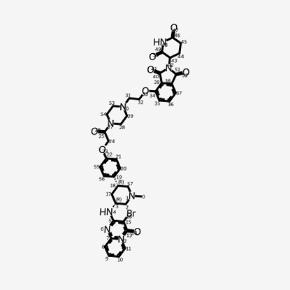 CN1C[C@H](Nc2nc3ccccn3c(=O)c2Br)C[C@H](c2ccc(OCC(=O)N3CCN(CCOc4cccc5c4C(=O)N(C4CCC(=O)NC4=O)C5=O)CC3)cc2)C1